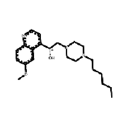 CCCCCCN1CCN(C[C@H](O)c2ccnc3ccc(OC)cc23)CC1